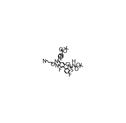 CN(C)CCCOc1nc(N2CC3CCC2CN3C(=O)OC(C)(C)C)c2cc(Cl)c(-c3ccc(F)c4sc(NC(=O)OC(C)(C)C)nc34)c(F)c2n1